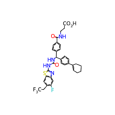 O=C(O)CCNC(=O)c1ccc(C(NC(=O)Nc2nc3cc(F)c(CC(F)(F)F)cc3s2)c2ccc(C3=CCCCC3)cc2)cc1